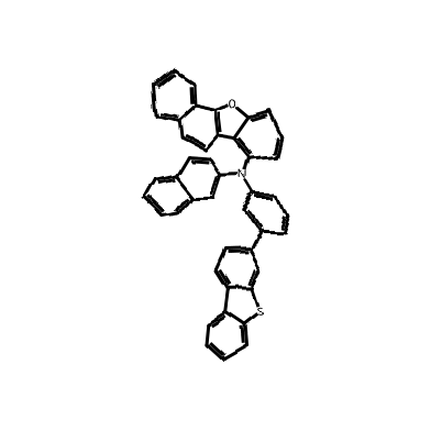 c1cc(-c2ccc3c(c2)sc2ccccc23)cc(N(c2ccc3ccccc3c2)c2cccc3oc4c5ccccc5ccc4c23)c1